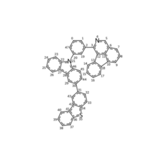 c1cc(-c2ncc3cccc4c3c2-c2ccccc2-4)cc(-n2c3ccccc3c3cc(-c4ccc5sc6ccccc6c5c4)ccc32)c1